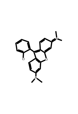 CN(C)c1ccc2c(-c3ccccc3Cl)c3ccc(=[N+](C)C)cc-3oc2c1